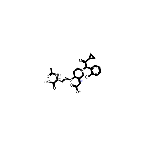 CC(=O)N[C@@H](CSSC1CCN(C(C(=O)C2CC2)c2ccccc2Cl)C/C1=C/C(=O)O)C(=O)O